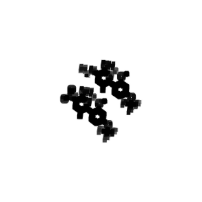 COc1cc(OC(F)(F)F)ccc1-c1nc(N)c(N)cc1C.COc1cc(OC(F)(F)F)ccc1-c1nc(N)c([N+](=O)[O-])cc1C